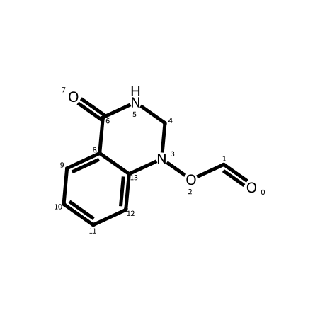 O=CON1CNC(=O)c2ccccc21